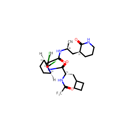 N#C[C@@H](C[C@@H]1CCCNC1=O)NC(=O)[C@@H]1[C@@H]2CC[C@@H](CC2(F)F)N1C(=O)[C@H](CC1CCC1)NC(=O)C(F)(F)F